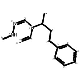 CN/N=C\N(C=O)C(C)CCc1ccccc1